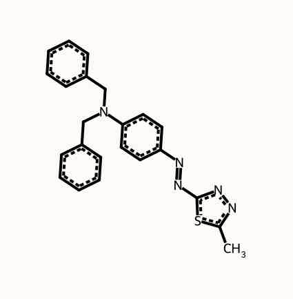 Cc1nnc(N=Nc2ccc(N(Cc3ccccc3)Cc3ccccc3)cc2)s1